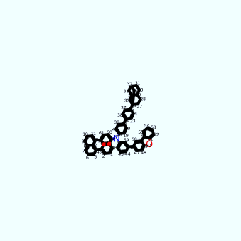 c1ccc(-c2cccc3cccc(-c4ccc(N(c5ccc(-c6ccc(C78CCC9CCC(CC9C7)C8)cc6)cc5)c5cccc(-c6ccc7oc8ccccc8c7c6)c5)cc4)c23)cc1